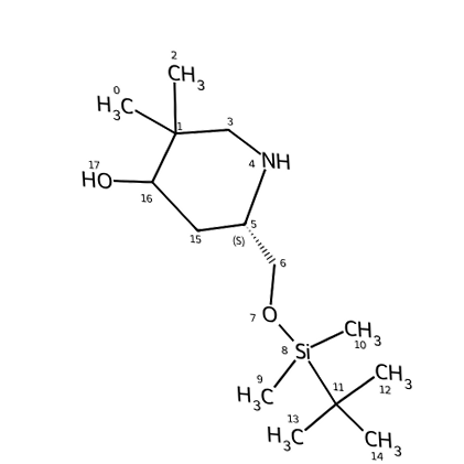 CC1(C)CN[C@H](CO[Si](C)(C)C(C)(C)C)CC1O